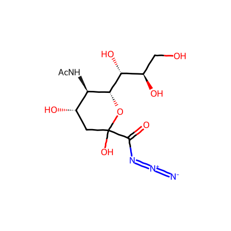 CC(=O)N[C@H]1[C@H]([C@H](O)[C@H](O)CO)OC(O)(C(=O)N=[N+]=[N-])C[C@@H]1O